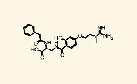 N=C(N)NCCOc1ccc(C(=O)NC[C@H](NC(=O)Cc2ccccc2)C(=O)O)c(O)c1